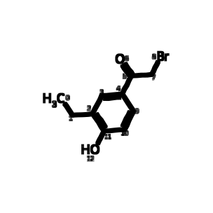 CCc1cc(C(=O)CBr)ccc1O